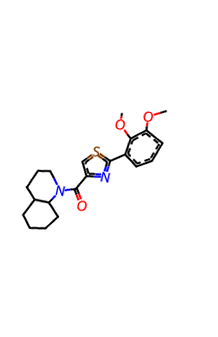 COc1cccc(-c2nc(C(=O)N3CCCC4CCCCC43)cs2)c1OC